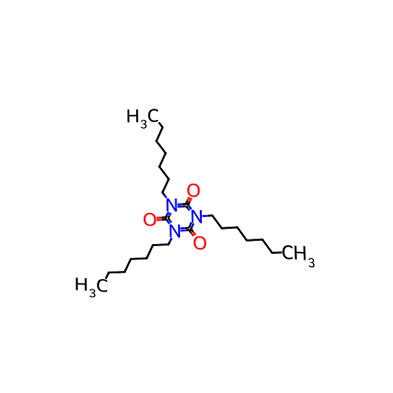 CCCCCCCn1c(=O)n(CCCCCCC)c(=O)n(CCCCCCC)c1=O